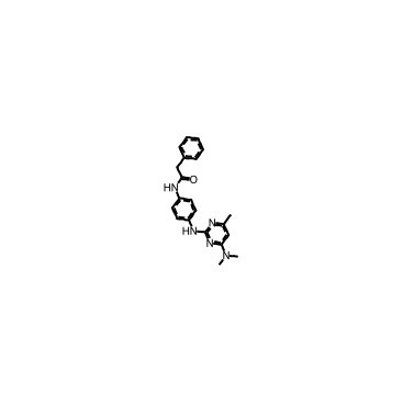 Cc1cc(N(C)C)nc(Nc2ccc(NC(=O)Cc3ccccc3)cc2)n1